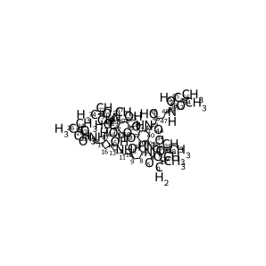 C=C(C)OC(=O)N[C@@H]1CC=C(CNCC2(O)CC(CNC(=O)OC(C)(C)C)C2)O[C@@H]1C1[C@@H](NC(=O)OC(C)(C)C)C[C@@H](NC(=O)[C@@H](O)CCNC(=O)OC(C)(C)C)[C@H](O[C@H]2OC[C@](C)(O)[C@H](N(C)C(=O)OC(C)(C)C)[C@H]2O)[C@H]1O